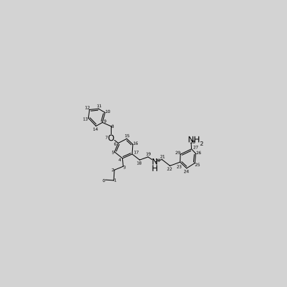 CCCCc1cc(OCc2ccccc2)ccc1CCNCCc1cccc(N)c1